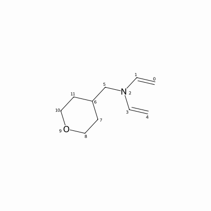 C=CN(C=C)CC1CCOCC1